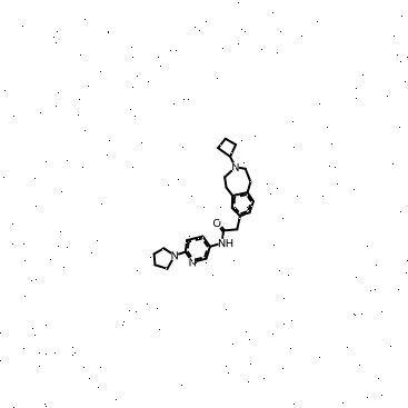 O=C(Cc1ccc2c(c1)CCN(C1CCC1)CC2)Nc1ccc(N2CCCC2)nc1